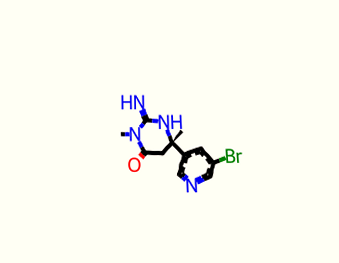 CN1C(=N)N[C@](C)(c2cncc(Br)c2)CC1=O